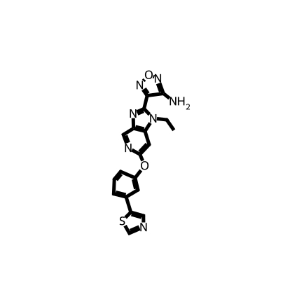 CCn1c(-c2nonc2N)nc2cnc(Oc3cccc(-c4cncs4)c3)cc21